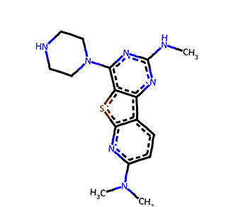 CNc1nc(N2CCNCC2)c2sc3nc(N(C)C)ccc3c2n1